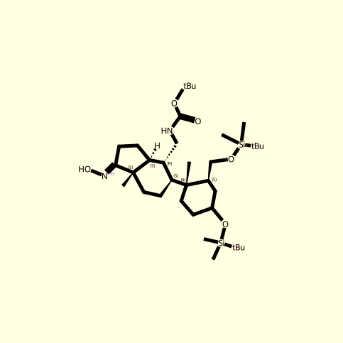 CC(C)(C)OC(=O)NC[C@@H]1[C@@H]([C@@]2(C)CCC(O[Si](C)(C)C(C)(C)C)C[C@@H]2CO[Si](C)(C)C(C)(C)C)CC[C@]2(C)/C(=N/O)CC[C@@H]12